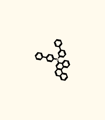 c1ccc(-c2ccc(N(c3cccc(-c4ccccc4)c3)c3cc4ccc5ccccc5c4c4ccccc34)cc2)cc1